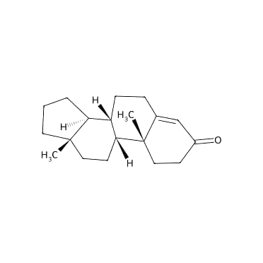 C[C@@]12CCC[C@H]1[C@@H]1CCC3=CC(=O)CC[C@]3(C)[C@@H]1CC2